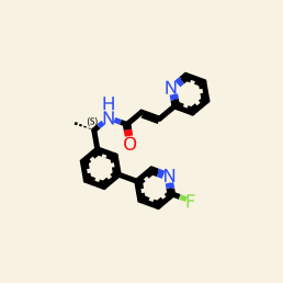 C[C@H](NC(=O)C=Cc1ccccn1)c1cccc(-c2ccc(F)nc2)c1